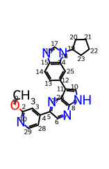 COc1cc(-c2cnc3[nH]cc(-c4ccc5ncn(C6CCCC6)c5c4)c3n2)ccn1